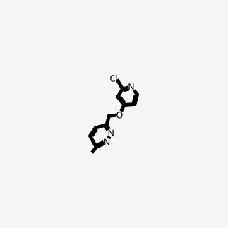 Cc1ccc(COc2ccnc(Cl)c2)nn1